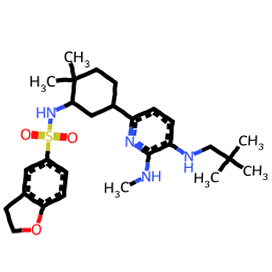 CNc1nc(C2CCC(C)(C)C(NS(=O)(=O)c3ccc4c(c3)CCO4)C2)ccc1NCC(C)(C)C